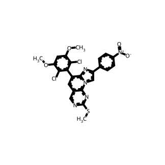 COc1cc(OC)c(Cl)c(-c2cc3cnc(SC)nc3n3cc(-c4ccc([N+](=O)[O-])cc4)nc23)c1Cl